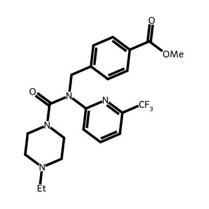 CCN1CCN(C(=O)N(Cc2ccc(C(=O)OC)cc2)c2cccc(C(F)(F)F)n2)CC1